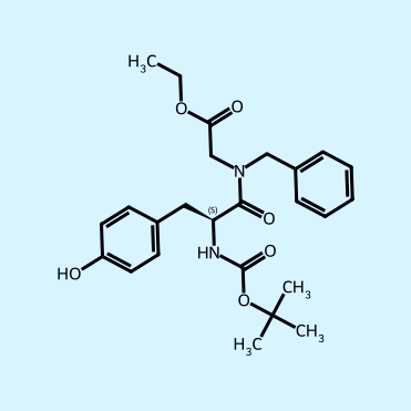 CCOC(=O)CN(Cc1ccccc1)C(=O)[C@H](Cc1ccc(O)cc1)NC(=O)OC(C)(C)C